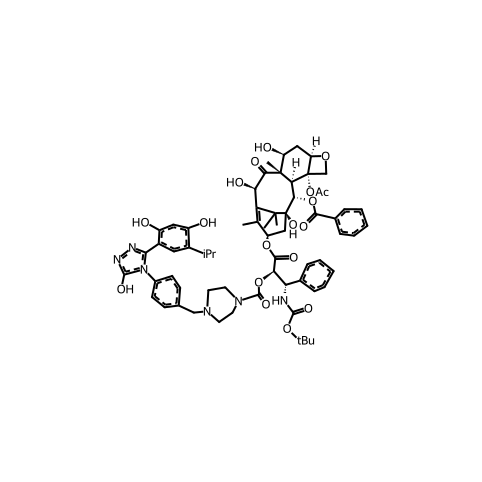 CC(=O)O[C@@]12CO[C@@H]1C[C@H](O)[C@@]1(C)C(=O)[C@H](O)C3=C(C)[C@@H](OC(=O)[C@H](OC(=O)N4CCN(Cc5ccc(-n6c(O)nnc6-c6cc(C(C)C)c(O)cc6O)cc5)CC4)[C@@H](NC(=O)OC(C)(C)C)c4ccccc4)C[C@@](O)([C@@H](OC(=O)c4ccccc4)[C@H]21)C3(C)C